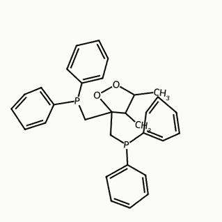 CC1OOC(CP(c2ccccc2)c2ccccc2)(CP(c2ccccc2)c2ccccc2)C1C